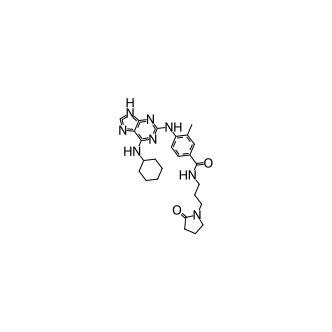 Cc1cc(C(=O)NCCCN2CCCC2=O)ccc1Nc1nc(NC2CCCCC2)c2nc[nH]c2n1